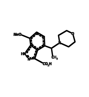 COc1ccc(C(C)N2CCOCC2)c2c(C(=O)O)n[nH]c12